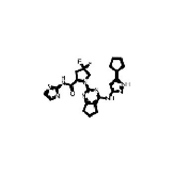 O=C(Nc1nccs1)C1CC(F)(F)CN1c1nc2c(c(Nc3cc(C4CCCC4)[nH]n3)n1)CCC2